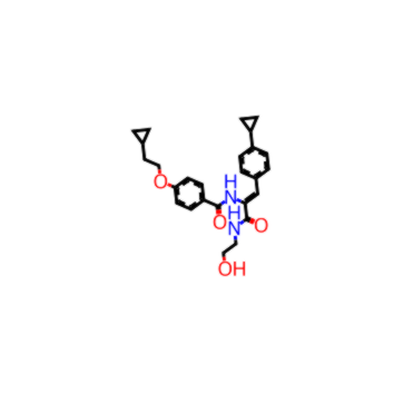 O=C(NCCO)C(=Cc1ccc(C2CC2)cc1)NC(=O)c1ccc(OCCC2CC2)cc1